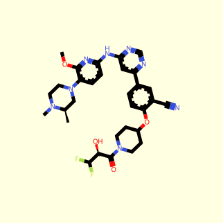 COc1nc(Nc2cc(-c3ccc(OC4CCN(C(=O)[C@H](O)C(F)F)CC4)c(C#N)c3)ncn2)ccc1N1CCN(C)[C@H](C)C1